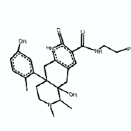 Cc1ccc(O)cc1C12CCN(C)C(C)C1(O)Cc1cc(C(=O)NCCC(C)C)c(=O)[nH]c1C2